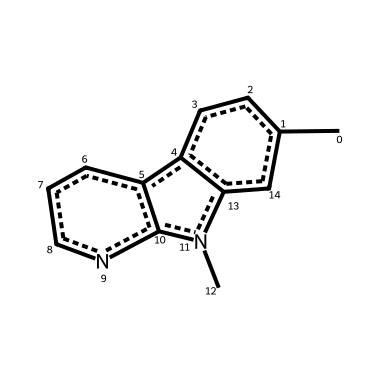 Cc1ccc2c3cccnc3n(C)c2c1